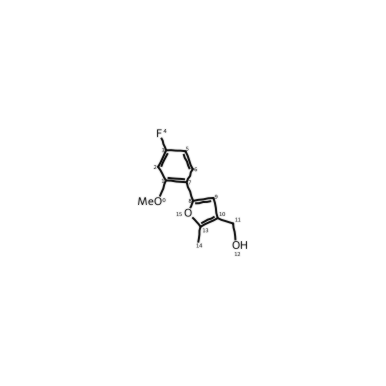 COc1cc(F)ccc1-c1cc(CO)c(C)o1